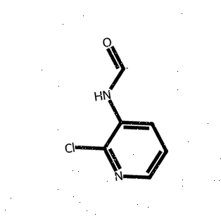 O=[C]Nc1cccnc1Cl